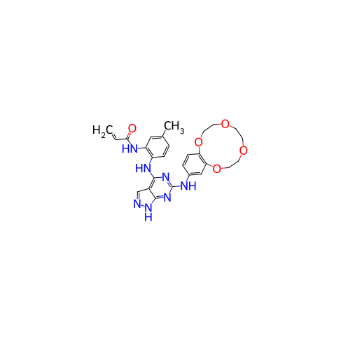 C=CC(=O)Nc1cc(C)ccc1Nc1nc(Nc2ccc3c(c2)OCCOCCOCCO3)nc2[nH]ncc12